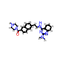 CN1CCN(C(=O)c2ccc3cc(CCNc4nc(N(C)C)nc5ccccc45)ccc3c2)CC1